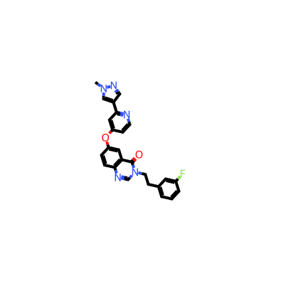 Cn1cc(-c2cc(Oc3ccc4ncn(CCc5cccc(F)c5)c(=O)c4c3)ccn2)cn1